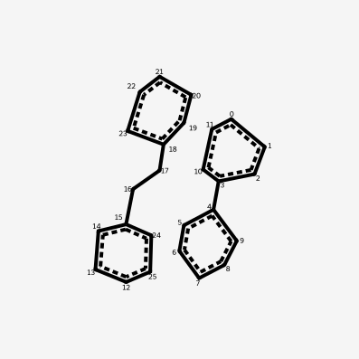 c1ccc(-c2ccccc2)cc1.c1ccc(CCc2ccccc2)cc1